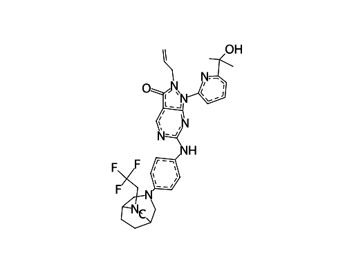 C=CCn1c(=O)c2cnc(Nc3ccc(N4CC5CCC(C4)N(CC(F)(F)F)C5)cc3)nc2n1-c1cccc(C(C)(C)O)n1